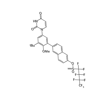 C=S(=O)(Oc1ccc2cc(-c3cc(-n4ccc(=O)[nH]c4=O)cc(C(C)(C)C)c3OC)ccc2c1)C(F)(F)C(F)(F)C(F)(F)C(F)(F)F